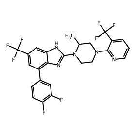 CC1CN(c2ncccc2C(F)(F)F)CCN1c1nc2c(-c3ccc(F)c(F)c3)cc(C(F)(F)F)cc2[nH]1